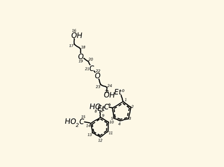 CCc1ccccc1C(=O)O.CCc1ccccc1C(=O)O.OCCOCCOCCO